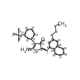 CCCCc1cc(/C=C2/SC(N)=C(c3cccc(C(F)(F)F)c3)C2=O)c2ccccc2c1